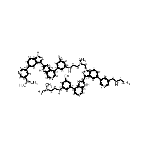 CCNCc1cncc(-c2ccc3c(c2)c(-c2nc4c(-c5cc(F)cc(NCCN(C)C)c5)cncc4[nH]2)nn3CN(C)CCNc2cc(F)cc(-c3cncc4[nH]c(-c5n[nH]c6ccc(-c7cncc(N(C)C)c7)cc56)nc34)c2)c1